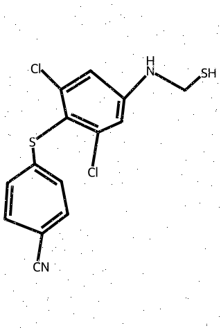 N#Cc1ccc(Sc2c(Cl)cc(NCS)cc2Cl)cc1